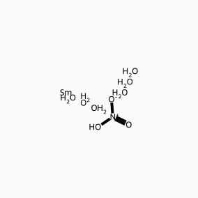 O.O.O.O.O.O.O=[N+]([O-])O.[Sm]